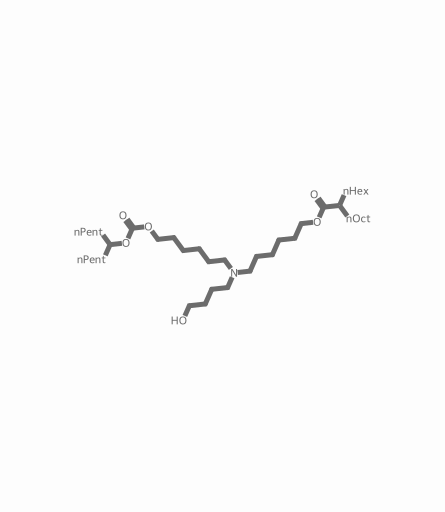 CCCCCCCCC(CCCCCC)C(=O)OCCCCCCN(CCCCO)CCCCCCOC(=O)OC(CCCCC)CCCCC